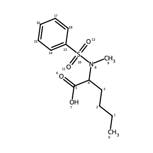 CCCCC(C(=O)O)N(C)S(=O)(=O)c1ccccc1